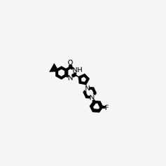 O=c1[nH]c([C@H]2CC[C@H](N3CCN(c4cccc(F)c4)CC3)C2)nc2c1CC1(CC2)CC1